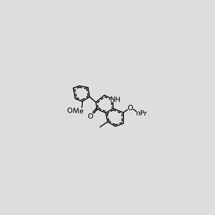 CCCOc1ccc(C)c2c(=O)c(-c3ccccc3OC)c[nH]c12